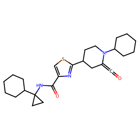 O=C=C1CC(c2nc(C(=O)NC3(C4CCCCC4)CC3)cs2)CCN1C1CCCCC1